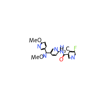 CON=C(c1ccc(NC(=O)c2cncc(F)c2C)nc1)c1ccc(OC)nc1